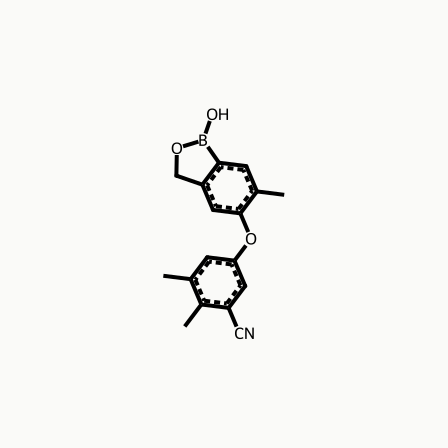 Cc1cc2c(cc1Oc1cc(C)c(C)c(C#N)c1)COB2O